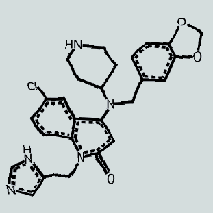 O=c1cc(N(Cc2ccc3c(c2)OCO3)C2CCNCC2)c2cc(Cl)ccc2n1Cc1cnc[nH]1